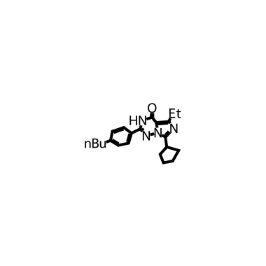 CCCCc1ccc(-c2nn3c(C4CCCC4)nc(CC)c3c(=O)[nH]2)cc1